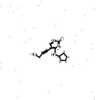 OCC#Cc1cnc(Cl)nc1NC1CCCC1